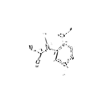 COc1ccc(C)cc1N(C)C(C)=O